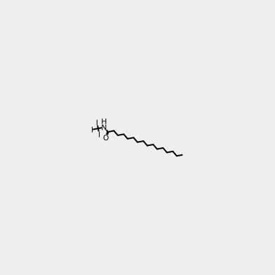 CCCCCCCCCCCCCCCC(=O)NC(I)(I)I